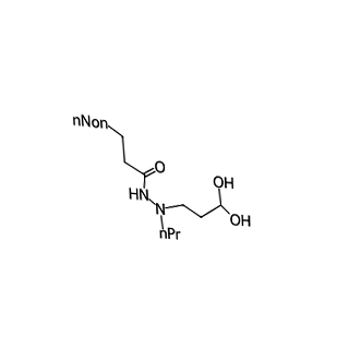 CCCCCCCCCCCC(=O)NN(CCC)CCC(O)O